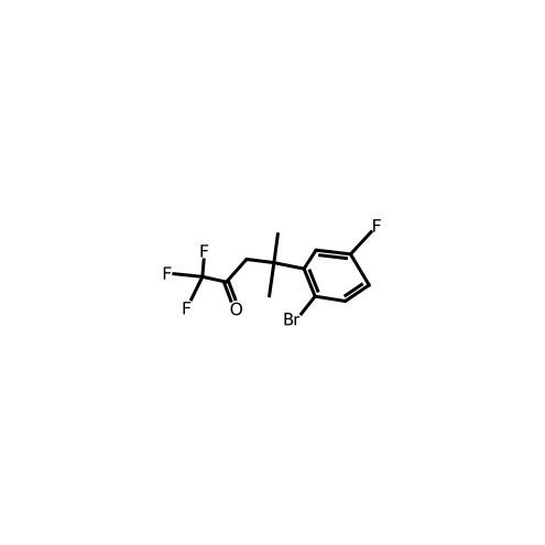 CC(C)(CC(=O)C(F)(F)F)c1cc(F)ccc1Br